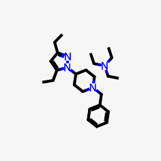 CCN(CC)CC.CCc1cc(CC)n(C2CCN(Cc3ccccc3)CC2)n1